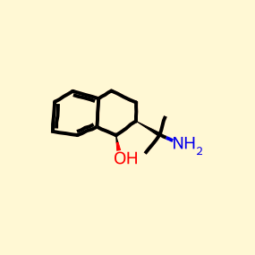 CC(C)(N)[C@@H]1CCc2ccccc2[C@@H]1O